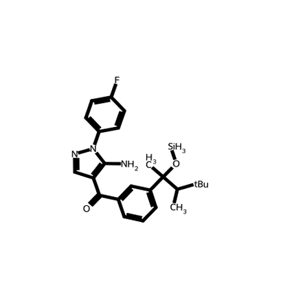 CC(C(C)(C)C)C(C)(O[SiH3])c1cccc(C(=O)c2cnn(-c3ccc(F)cc3)c2N)c1